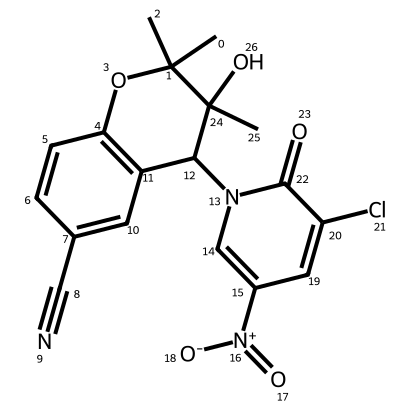 CC1(C)Oc2ccc(C#N)cc2C(n2cc([N+](=O)[O-])cc(Cl)c2=O)C1(C)O